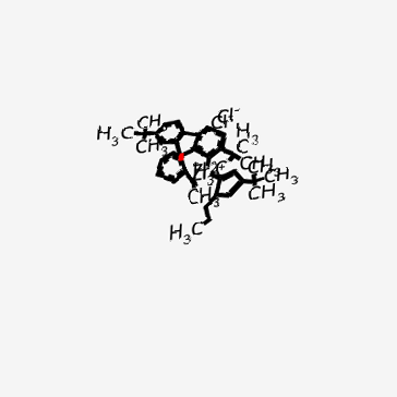 CCCC1C=C(C(C)(C)C)C=[C]1/[Zr+2](=[C](\C)c1ccccc1)[c]1c(C(C)(C)C)ccc2c1Cc1cc(C(C)(C)C)ccc1-2.[Cl-].[Cl-]